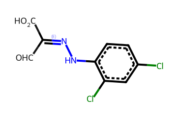 O=C/C(=N\Nc1ccc(Cl)cc1Cl)C(=O)O